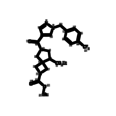 CCOC(=O)C1CN(C(=O)c2cnn(Cc3ccc(C(F)(F)F)cc3)c2)CC12CN(C(=O)OC(C)(C)C)C2